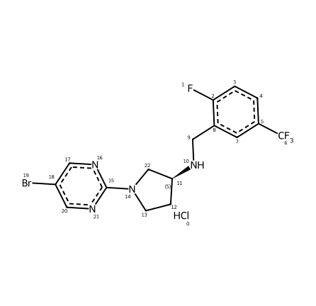 Cl.Fc1ccc(C(F)(F)F)cc1CN[C@H]1CCN(c2ncc(Br)cn2)C1